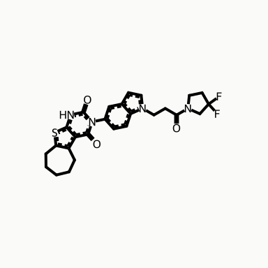 O=C(CCn1ccc2cc(-n3c(=O)[nH]c4sc5c(c4c3=O)CCCCC5)ccc21)N1CCC(F)(F)C1